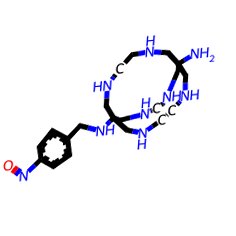 NC12CNCCNCC(NCc3ccc(N=O)cc3)(CNCCNC1)CNCCNC2